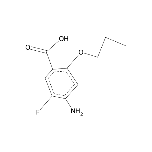 CCCOc1cc(N)c(F)cc1C(=O)O